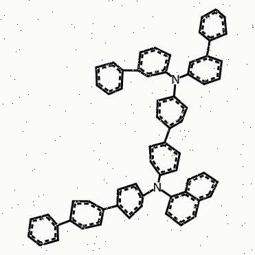 c1ccc(-c2ccc(-c3ccc(N(c4ccc(-c5ccc(N(c6cccc(-c7ccccc7)c6)c6cccc(-c7ccccc7)c6)cc5)cc4)c4cccc5ccccc45)cc3)cc2)cc1